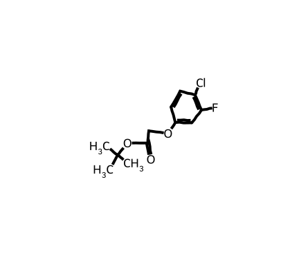 CC(C)(C)OC(=O)COc1ccc(Cl)c(F)c1